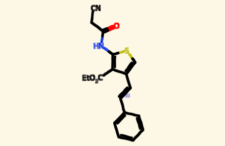 CCOC(=O)c1c(/C=C/c2ccccc2)csc1NC(=O)CC#N